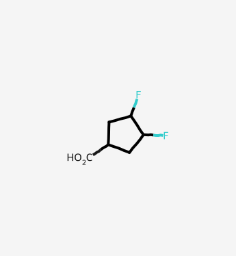 O=C(O)C1CC(F)C(F)C1